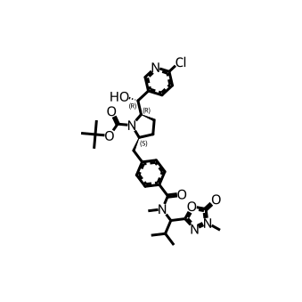 CC(C)C(c1nn(C)c(=O)o1)N(C)C(=O)c1ccc(C[C@@H]2CC[C@H]([C@H](O)c3ccc(Cl)nc3)N2C(=O)OC(C)(C)C)cc1